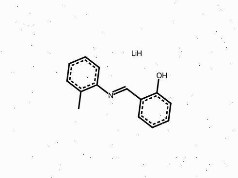 Cc1ccccc1N=Cc1ccccc1O.[LiH]